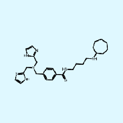 O=C(NCCCCNC1CCCCCC1)c1ccc(CN(Cc2ncc[nH]2)Cc2ncc[nH]2)cc1